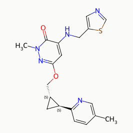 Cc1ccc([C@H]2C[C@@H]2COc2cc(NCc3cncs3)c(=O)n(C)n2)nc1